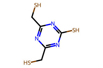 SCc1nc(S)nc(CS)n1